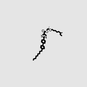 CCCCCCCCCc1ccc(-c2ccc(-c3ncc(C(=O)OC[C@H](C)OCCCCC[C@@H](C)CC)cn3)cc2)cc1